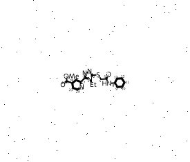 CCn1c(SCC(=O)Nc2ccccc2)nnc1-c1cc(C(=O)OC)ccn1